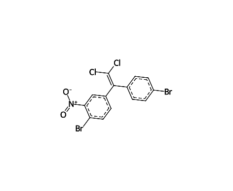 O=[N+]([O-])c1cc(C(=C(Cl)Cl)c2ccc(Br)cc2)ccc1Br